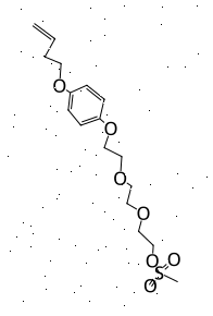 C=CCCOc1ccc(OCCOCCOCCOS(C)(=O)=O)cc1